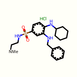 CNCCNS(=O)(=O)c1ccc(NC2CCCCC2)c(NCc2ccccc2)c1.Cl